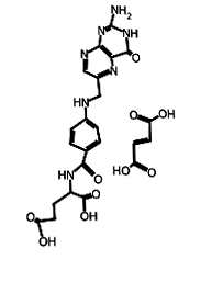 Nc1nc2ncc(CNc3ccc(C(=O)NC(CCC(=O)O)C(=O)O)cc3)nc2c(=O)[nH]1.O=C(O)/C=C/C(=O)O